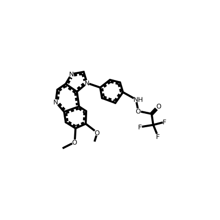 COc1cc2ncc3ncn(-c4ccc(NOC(=O)C(F)(F)F)cc4)c3c2cc1OC